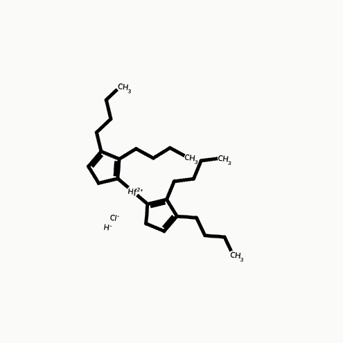 CCCCC1=CC[C]([Hf+2][C]2=C(CCCC)C(CCCC)=CC2)=C1CCCC.[Cl-].[H-]